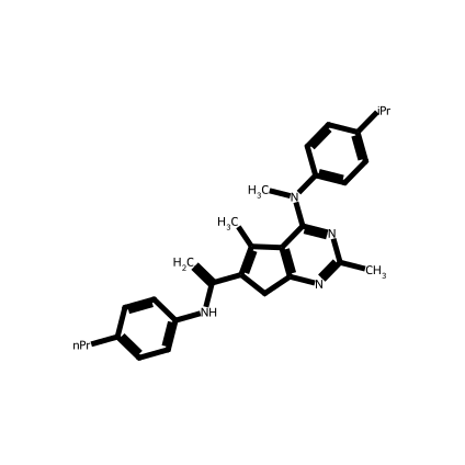 C=C(Nc1ccc(CCC)cc1)C1=C(C)c2c(nc(C)nc2N(C)c2ccc(C(C)C)cc2)C1